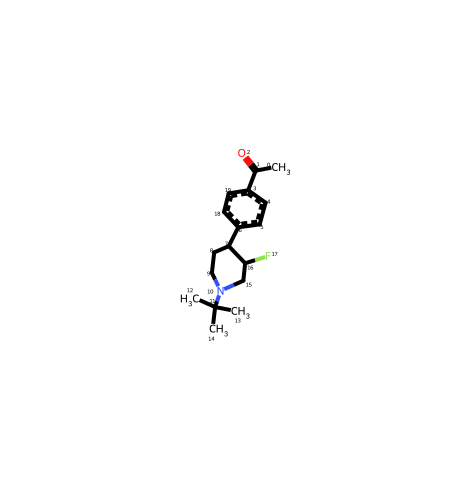 CC(=O)c1ccc(C2CCN(C(C)(C)C)CC2F)cc1